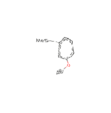 CSc1cccc(OC(C)(C)C)c1